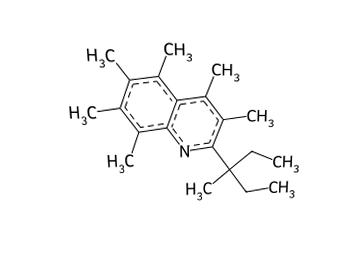 CCC(C)(CC)c1nc2c(C)c(C)c(C)c(C)c2c(C)c1C